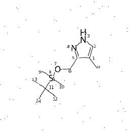 Cc1c[nH]nc1CO[Si](C)(C)C(C)(C)C